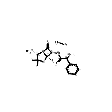 CC(C)N.CC1(C)S[C@@H]2[C@H](NC(=O)C(N)c3ccccc3)C(=O)N2[C@H]1C(=O)O